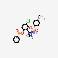 Cc1ccc(S(=O)(=O)N[C@H](C)c2cc(Cl)ccc2O[PH](=O)c2ccccc2)cc1